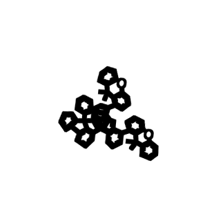 CC1(C)c2ccccc2Oc2cccc(-c3cccc4c(-c5cccc6c5C(c5ccccc5)(c5ccccc5)c5ccccc5-6)c5cccc(-c6cccc7c6C(C)(C)c6ccccc6O7)c5cc34)c21